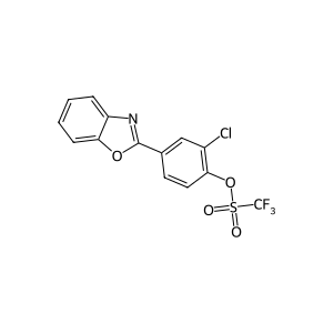 O=S(=O)(Oc1ccc(-c2nc3ccccc3o2)cc1Cl)C(F)(F)F